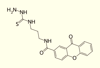 NNC(=S)NCCCNC(=O)c1ccc2oc3ccccc3c(=O)c2c1